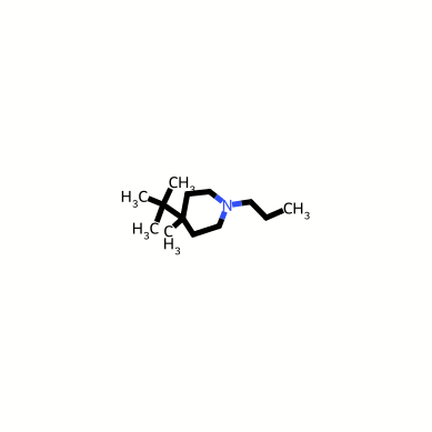 CCCN1CCC(C)(C(C)(C)C)CC1